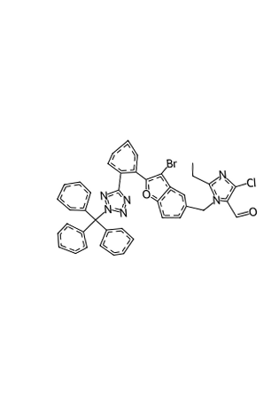 CCc1nc(Cl)c(C=O)n1Cc1ccc2oc(-c3ccccc3-c3nnn(C(c4ccccc4)(c4ccccc4)c4ccccc4)n3)c(Br)c2c1